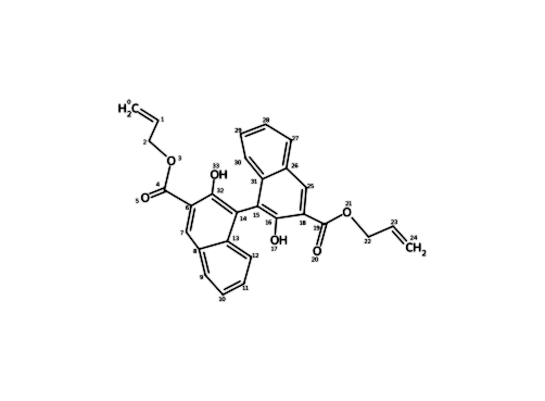 C=CCOC(=O)c1cc2ccccc2c(-c2c(O)c(C(=O)OCC=C)cc3ccccc23)c1O